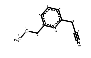 COCc1cccc(CC#N)n1